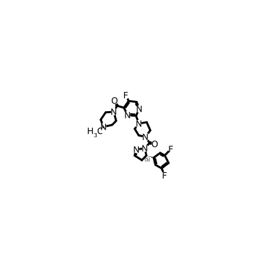 CN1CCN(C(=O)c2nc(N3CCN(C(=O)N4N=CC[C@H]4c4cc(F)cc(F)c4)CC3)ncc2F)CC1